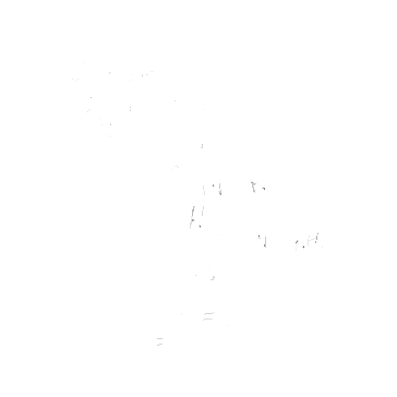 C[C@H](NC(=O)c1nc(N)cnc1NCc1ccc(B2OC(C)(C)C(C)(C)O2)cc1)c1ccc(F)c(F)c1